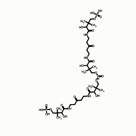 CC(C)(CO[PH](=O)OCC(C)(C)C(O)C(=O)NCCC(=O)CCNC(=O)C(O)C(C)(C)COP(=O)(O)O)C(O)C(=O)NCCC(=O)CCNC(=O)C(O)C(C)(C)COP(=O)(O)O